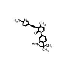 CC(=O)N1CC(C)(C)c2ccc(-n3ccc(C)c(C#Cc4cnc(N)nc4)c3=O)cc21